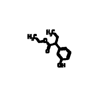 CCOC(=O)C(CC)c1cccc(O)c1